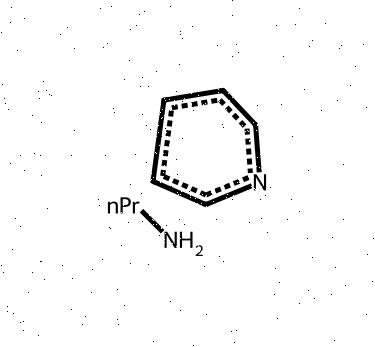 CCCN.c1ccncc1